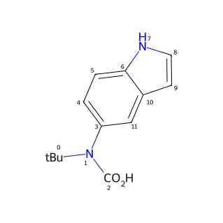 CC(C)(C)N(C(=O)O)c1ccc2[nH]ccc2c1